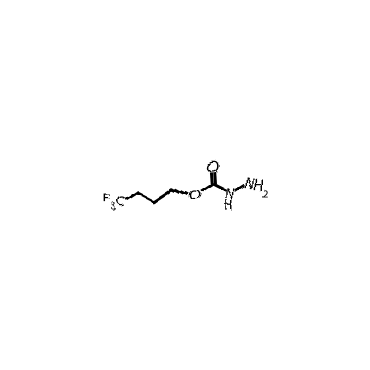 NNC(=O)OCCCC(F)(F)F